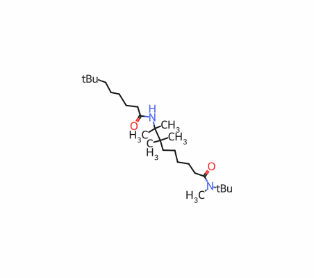 CN(C(=O)CCCCCC(C)(C)C(C)(C)NC(=O)CCCCCC(C)(C)C)C(C)(C)C